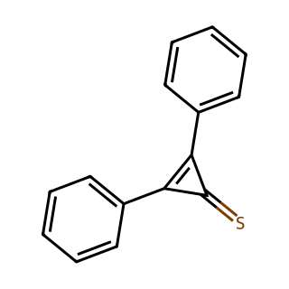 S=c1c(-c2ccccc2)c1-c1ccccc1